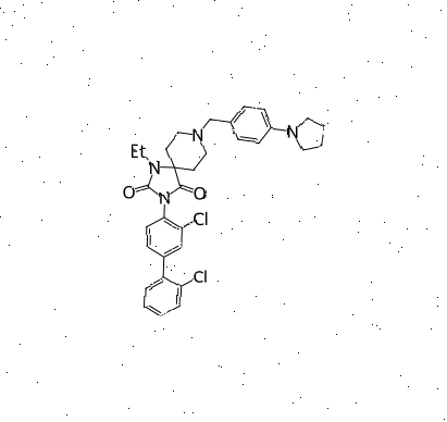 CCN1C(=O)N(c2ccc(-c3ccccc3Cl)cc2Cl)C(=O)C12CCN(Cc1ccc(N3CCCC3)cc1)CC2